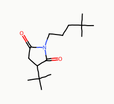 CC(C)(C)CCCN1C(=O)CC(C(C)(C)C)C1=O